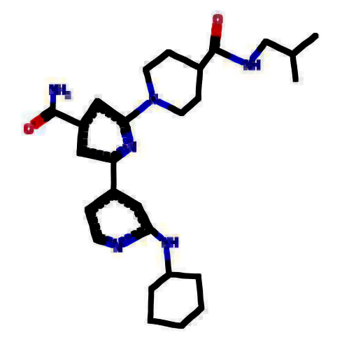 CC(C)CNC(=O)C1CCN(c2cc(C(N)=O)cc(-c3ccnc(NC4CCCCC4)c3)n2)CC1